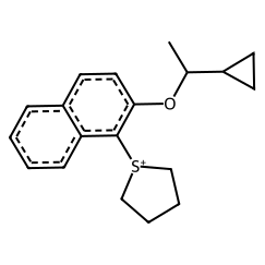 CC(Oc1ccc2ccccc2c1[S+]1CCCC1)C1CC1